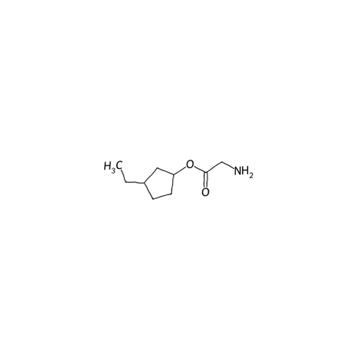 CCC1CCC(OC(=O)CN)C1